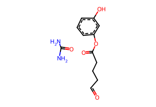 NC(N)=O.O=CCCCC(=O)Oc1cccc(O)c1